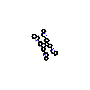 c1ccc2nc(-c3ccc4c5ccc(-c6ccc7ccccc7n6)cc5c5c6cc(-c7ccc8ccccc8n7)ccc6c6ccc(-c7ccc8ccccc8n7)cc6c5c4c3)ccc2c1